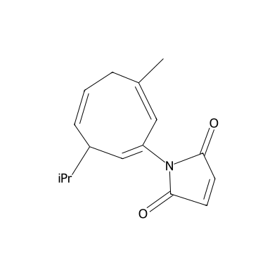 C/C1=C/C(N2C(=O)C=CC2=O)=C\C(C(C)C)/C=C\C1